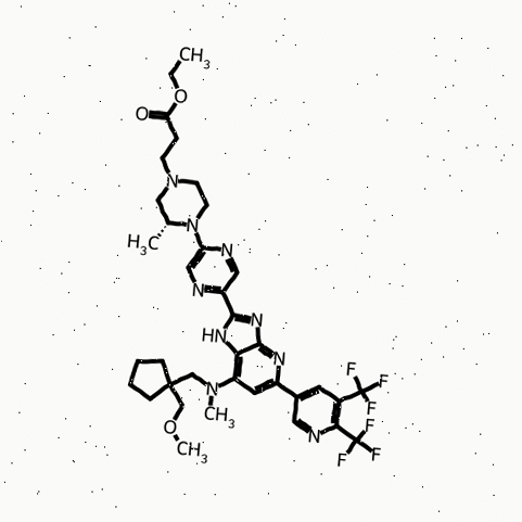 CCOC(=O)CCN1CCN(c2cnc(-c3nc4nc(-c5cnc(C(F)(F)F)c(C(F)(F)F)c5)cc(N(C)CC5(COC)CCCC5)c4[nH]3)cn2)[C@H](C)C1